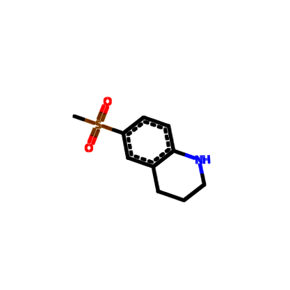 CS(=O)(=O)c1ccc2c(c1)CCCN2